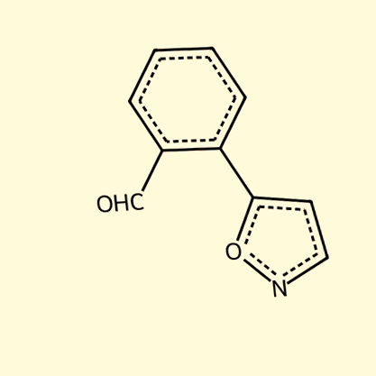 O=Cc1ccccc1-c1ccno1